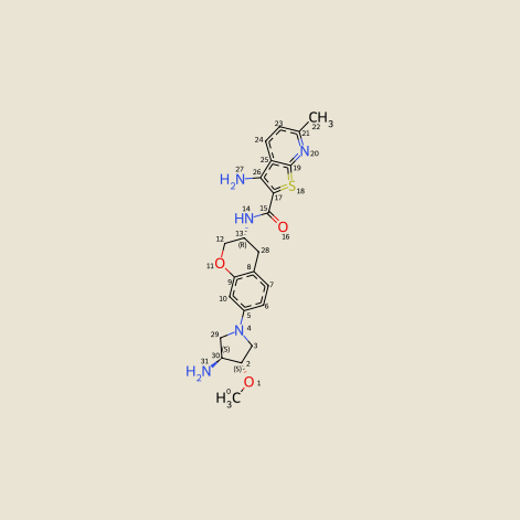 CO[C@H]1CN(c2ccc3c(c2)OC[C@H](NC(=O)c2sc4nc(C)ccc4c2N)C3)C[C@@H]1N